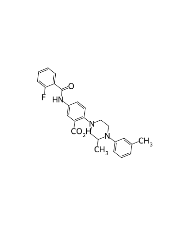 Cc1cccc(N2CCN(c3ccc(NC(=O)c4ccccc4F)cc3C(=O)O)CC2C)c1